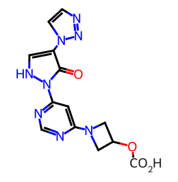 O=C(O)OC1CN(c2cc(-n3[nH]cc(-n4ccnn4)c3=O)ncn2)C1